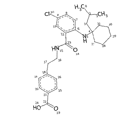 CC(C)CC1(Nc2ccc(Cl)cc2C(=O)NCCc2ccc(C(=O)O)cc2)CCCCC1